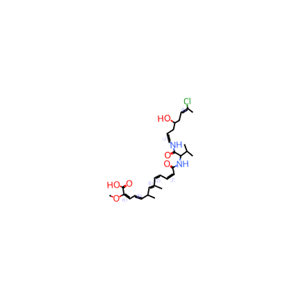 CO/C(=C/C=C/C(C)/C=C(C)/C=C\C=C/C(=O)NC(C(=O)N/C=C\CC(O)C/C=C(\C)Cl)C(C)C)C(=O)O